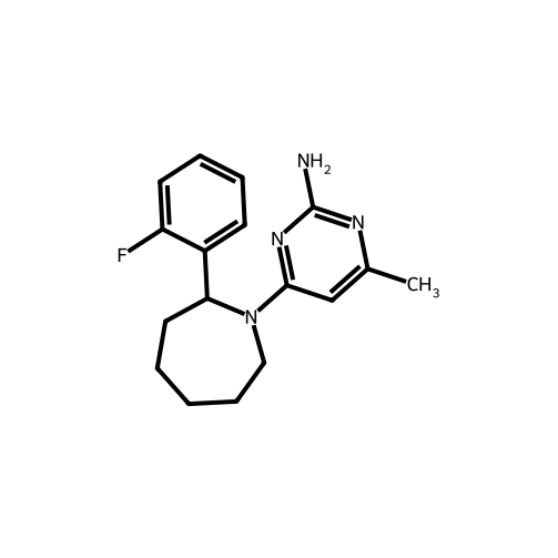 Cc1cc(N2CCCCCC2c2ccccc2F)nc(N)n1